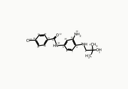 CC(C)(O)CNc1ccc(NC(=O)c2ccc(Cl)cc2)cc1N